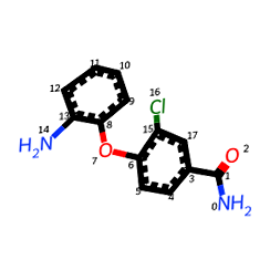 NC(=O)c1ccc(Oc2ccccc2N)c(Cl)c1